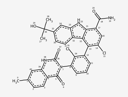 Cc1ccc2c(=O)n(-c3cccc(-c4c(Cl)cc(C(N)=O)c5[nH]c6cc(C(C)(C)O)ccc6c45)c3Cl)c(=O)[nH]c2c1